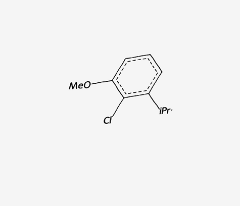 COc1cccc([C](C)C)c1Cl